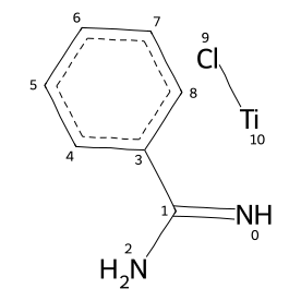 N=C(N)c1ccccc1.[Cl][Ti]